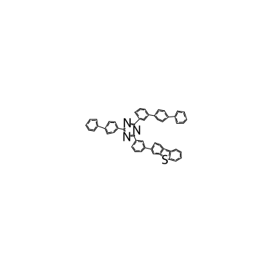 c1ccc(-c2ccc(-c3cccc(-c4nc(-c5ccc(-c6ccccc6)cc5)nc(-c5cccc(-c6ccc7c(c6)sc6ccccc67)c5)n4)c3)cc2)cc1